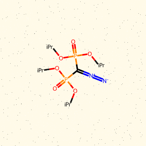 CC(C)OP(=O)(OC(C)C)C(=[N+]=[N-])P(=O)(OC(C)C)OC(C)C